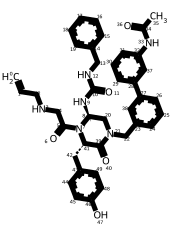 C=CCNCC(=O)N1[C@@H](NC(=O)NCc2ccccc2)CN(Cc2cccc(-c3cccc(NC(C)=O)c3)c2)C(=O)[C@@H]1Cc1ccc(O)cc1